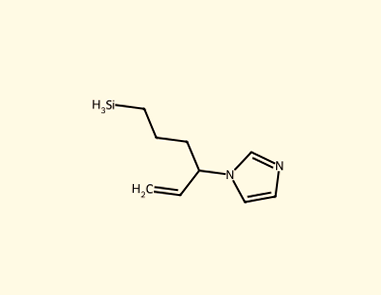 C=CC(CCC[SiH3])n1ccnc1